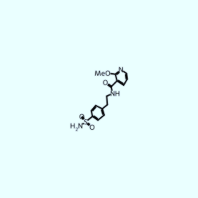 COc1ncccc1C(=O)NCCc1ccc(S(N)(=O)=O)cc1